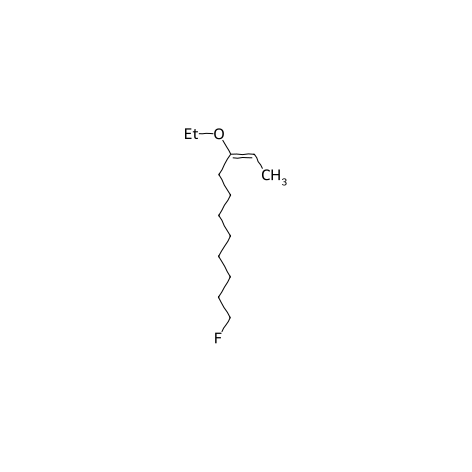 CC=C(CCCCCCCCF)OCC